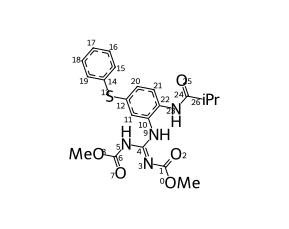 COC(=O)N=C(NC(=O)OC)Nc1cc(Sc2ccccc2)ccc1NC(=O)C(C)C